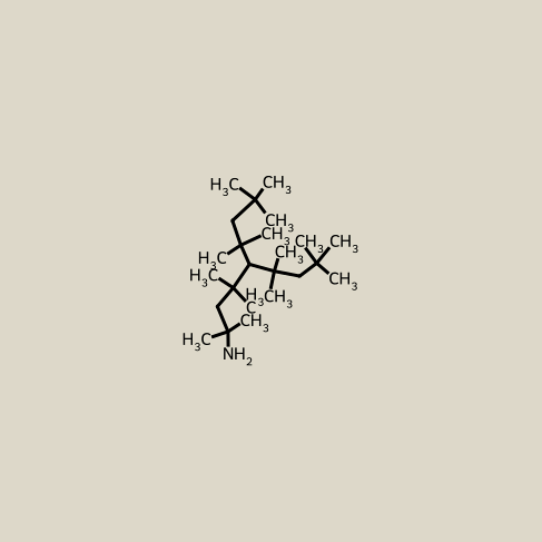 CC(C)(C)CC(C)(C)C(C(C)(C)CC(C)(C)C)C(C)(C)CC(C)(C)N